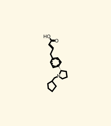 O=C(O)/C=C/Cc1ccc([C@@H]2CCCN2CC2CCCC2)cc1